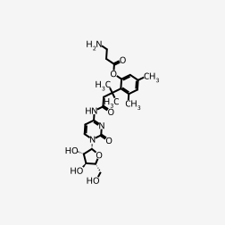 Cc1cc(C)c(C(C)(C)CC(=O)Nc2ccn([C@@H]3O[C@H](CO)[C@@H](O)[C@@H]3O)c(=O)n2)c(OC(=O)CCN)c1